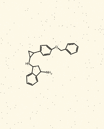 NC1CC(NC2CC2c2ccc(OCc3ccccc3)cc2)c2ccccc21